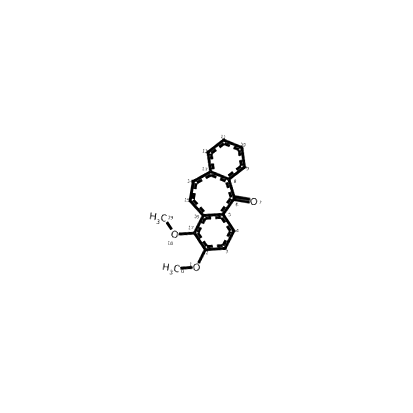 COc1ccc2c(=O)c3ccccc3ccc2c1OC